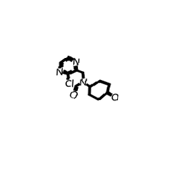 O=CN(Cc1nccnc1Cl)C1CCC(=O)CC1